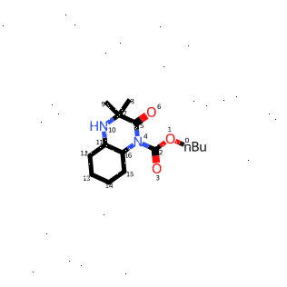 CCCCOC(=O)N1C(=O)C(C)(C)NC2CCCCC21